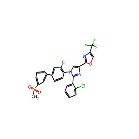 CS(=O)(=O)c1cccc(-c2ccc(-n3cc(-c4nc(C(F)(F)F)co4)nc3-c3ccccc3Cl)c(Cl)c2)c1